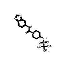 CC(C)(C)S(=O)(=O)NC1CCN(C(=O)Nc2ccc3scnc3c2)CC1